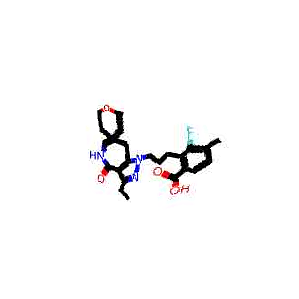 CCc1nn(CCCc2c(C(=O)O)ccc(C)c2F)c2c1C(=O)NCC1(CCOCC1)C2